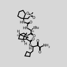 CC(C)(C)[C@H](NC(=O)NC1(CS(C)(=O)=O)CCCCC1)C(=O)N1C[C@H]2C[C@@H](C1C(=O)NC(CC1CCC1)C(=O)C(N)=O)C2(C)C